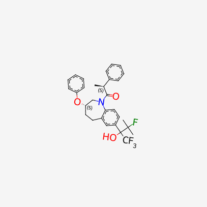 C[C@H](C(=O)N1C[C@@H](Oc2ccccc2)CCc2cc(C(O)(C(C)(C)F)C(F)(F)F)ccc21)c1ccccc1